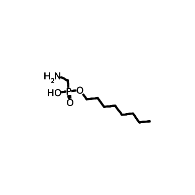 CCCCCCCCOP(=O)(O)CN